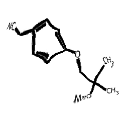 COC(C)(C)COc1ccc(C#N)cc1